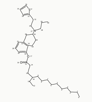 CCCCCCCCCCC(CC)CCC(=O)Oc1cccc2c1CCC(N(CCC)CCc1cccs1)C2